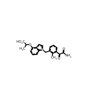 Cc1c(Cn2ccc3c(OC(C)C(=O)O)cccc32)cccc1C(=O)C(N)=O